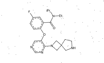 CCN(C(=O)c1cc(F)ccc1Oc1cncnc1N1CC2(CCNC2)C1)C(C)C